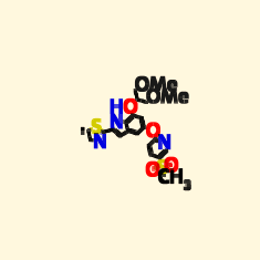 COCC(COC)Oc1cc(Oc2ccc(S(C)(=O)=O)cn2)cc2cc(C3=NC[C]S3)[nH]c12